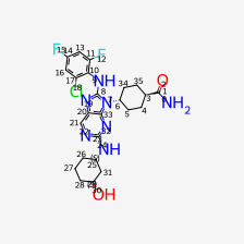 NC(=O)[C@H]1CC[C@H](n2c(Nc3c(F)cc(F)cc3Cl)nc3cnc(N[C@H]4CCC[C@H](O)C4)nc32)CC1